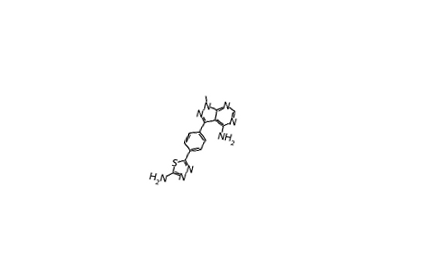 Cn1nc(-c2ccc(-c3nnc(N)s3)cc2)c2c(N)ncnc21